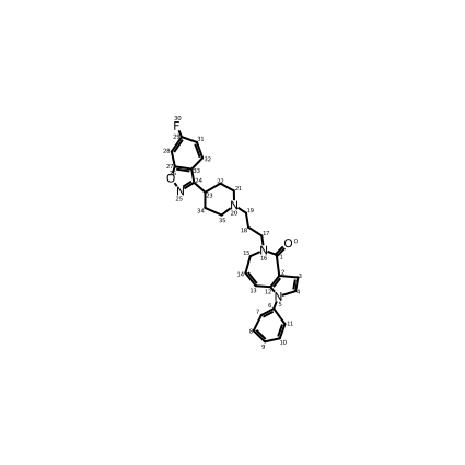 O=C1c2ccn(-c3ccccc3)c2C=CCN1CCCN1CCC(c2noc3cc(F)ccc23)CC1